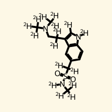 [2H]c1c(C([2H])([2H])CN(C([2H])([2H])[2H])C([2H])([2H])[2H])c2cc(C([2H])([2H])S(=O)(=O)N([2H])C([2H])([2H])[2H])ccc2n1[2H]